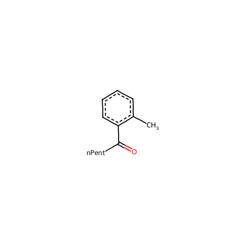 CCCCCC(=O)c1ccccc1C